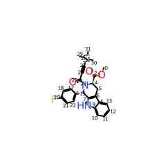 COC(=O)[C@H]1Cc2c([nH]c3ccccc23)[C@H](c2ccc(F)cc2)N1C(=O)C#C[Si](C)(C)C